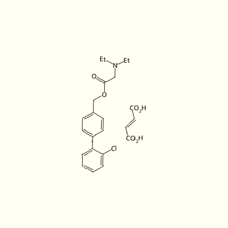 CCN(CC)CC(=O)OCc1ccc(-c2ccccc2Cl)cc1.O=C(O)C=CC(=O)O